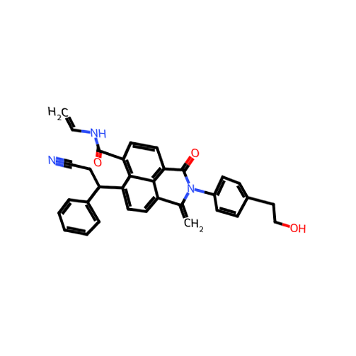 C=CNC(=O)c1ccc2c(=O)n(-c3ccc(CCO)cc3)c(=C)c3ccc(C(CC#N)c4ccccc4)c1c32